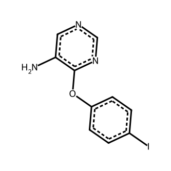 Nc1cncnc1Oc1ccc(I)cc1